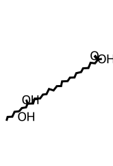 CCCCC(O)CCC(O)CCCCCCCCCCCCCCCCCCCC(=O)O